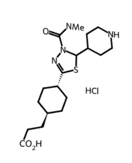 CNC(=O)N1N=C([C@H]2CC[C@H](CCC(=O)O)CC2)SC1C1CCNCC1.Cl